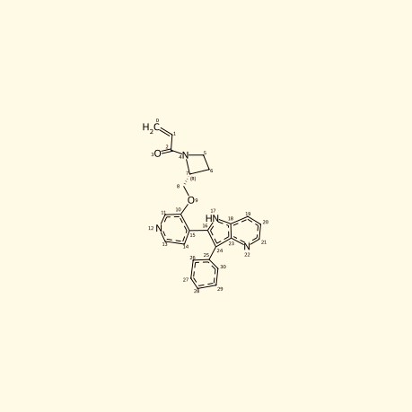 C=CC(=O)N1CC[C@@H]1COc1cnccc1-c1[nH]c2cccnc2c1-c1ccccc1